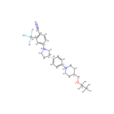 CC(C)(C)[Si](C)(C)OCC1CCN(c2ccc([C@@H]3CCN(c4ccc(C#N)c(C(F)(F)F)c4)C3)cc2)CC1